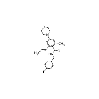 CC=Cc1nc(N2CCOCC2)cc(C)c1C(=O)NCc1ccc(F)cc1